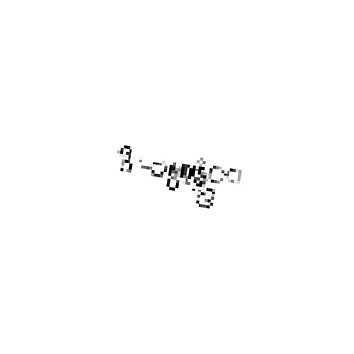 COC(=O)CCc1ccc(NC(=O)[C@H](COC2CCCCO2)NS(=O)(=O)c2ccc(Cl)cc2)cc1